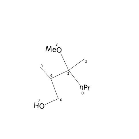 CCCC(C)(OC)C(C)CO